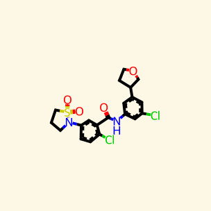 O=C(Nc1cc(Cl)cc(C2CCOC2)c1)c1cc(N2CCCS2(=O)=O)ccc1Cl